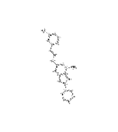 Cc1cccc(/C=N/Nc2cc(N)c3nc(-c4ccncc4)cn3n2)c1